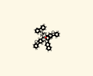 c1ccc2cc3c(cc2c1)c1ccccc1n3-c1cc2c(cc1-c1nc(-c3ccc4c(c3)oc3ccccc34)nc(-n3c4ccccc4c4ccccc43)n1)oc1ccccc12